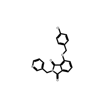 O=C1c2cccc(OCc3ccc(Cl)cc3)c2C(=O)N1Cc1cccnc1